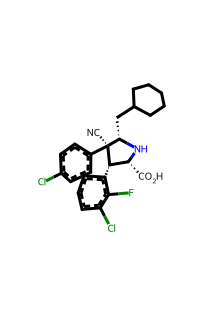 N#C[C@]1(c2ccc(Cl)cc2)[C@H](CC2CCCCC2)N[C@H](C(=O)O)[C@@H]1c1cccc(Cl)c1F